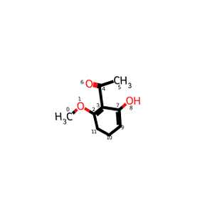 COC1=C(C(C)=O)C(O)=CCC1